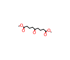 COC(=O)CCCC(=O)CCCC(=O)OC